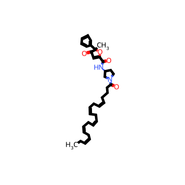 CC/C=C\C/C=C\C/C=C\C/C=C\C/C=C\CCCC(=O)N1CC[C@H](NC(=O)C2=CC(=O)C(C)(c3ccccc3)O2)C1